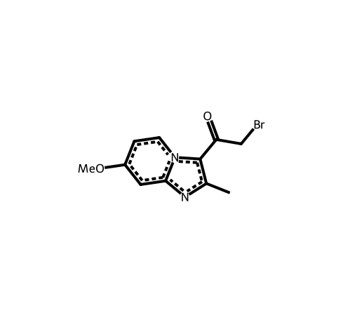 COc1ccn2c(C(=O)CBr)c(C)nc2c1